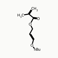 C=C(C)C(=O)OCC=COCCCC